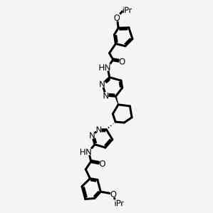 CC(C)Oc1cccc(CC(=O)Nc2ccc([C@H]3CCC[C@H](c4ccc(NC(=O)Cc5cccc(OC(C)C)c5)nn4)C3)nn2)c1